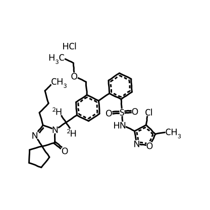 Cl.[2H]C([2H])(c1ccc(-c2ccccc2S(=O)(=O)Nc2noc(C)c2Cl)c(COCC)c1)N1C(=O)C2(CCCC2)N=C1CCCC